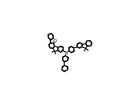 CC1(C)c2ccccc2-c2ccc(-c3ccc(N(c4ccc(-c5ccccc5)cc4)c4ccc5c(c4)C(C)(C)c4ccc6c(oc7ccccc76)c4-5)cc3)cc21